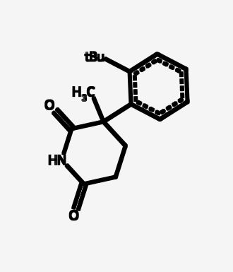 CC(C)(C)c1ccccc1C1(C)CCC(=O)NC1=O